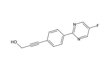 OCC#Cc1ccc(-c2ncc(F)cn2)cc1